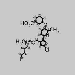 Cc1nc(-c2sc(Cl)cc2COCN(C)CCCCF)ccc1O[C@H]1CCC[C@H](C(=O)O)C1